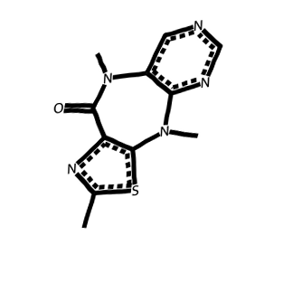 Cc1nc2c(s1)N(C)c1ncncc1N(C)C2=O